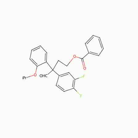 CC(C)Oc1ccccc1C([C]=O)(CCOC(=O)c1ccccc1)c1ccc(F)c(F)c1